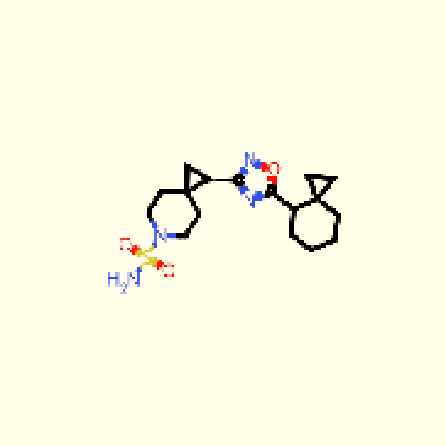 NS(=O)(=O)N1CCC2(CC1)C[C@H]2c1noc(C2CCCCC23CC3)n1